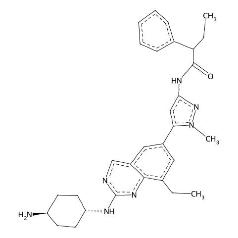 CCc1cc(-c2cc(NC(=O)C(CC)c3ccccc3)nn2C)cc2cnc(N[C@H]3CC[C@H](N)CC3)nc12